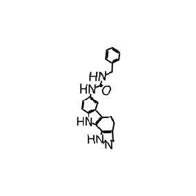 O=C(NCc1ccccc1)Nc1ccc2[nH]c3c(c2c1)CCc1cn[nH]c1-3